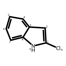 Clc1[c]c2ccccc2[nH]1